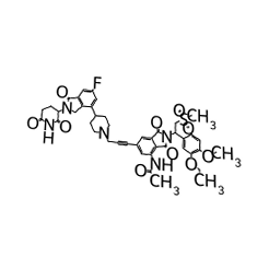 CCOc1cc(C(CS(C)(=O)=O)N2C(=O)c3cc(C#CCN4CCC(c5cc(F)cc6c5CN(C5CCC(=O)NC5=O)C6=O)CC4)cc(NC(C)=O)c3C2=O)ccc1OC